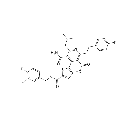 CC(C)Cc1nc(CCc2ccc(F)cc2)c(C(=O)O)c(-c2ccc(C(=O)NCc3ccc(F)c(F)c3)s2)c1C(N)=O